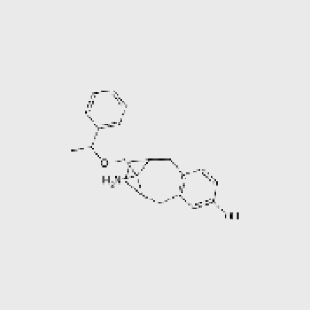 CC(OCC1(N)C2CCC1Cc1cc(O)ccc1C2)c1ccccc1